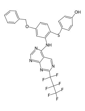 Oc1ccc(Sc2ccc(OCc3ccccc3)cc2Nc2ncnc3nc(C(F)(F)C(F)(F)C(F)(F)F)ncc23)cc1